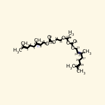 CC(C)=CCC/C(C)=C/COC(=O)OCCOC(C)OC(=O)OC/C=C(\C)CCC=C(C)C